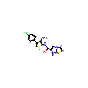 O=C(Nc1scc(-c2ccc(Cl)cc2)c1C(=O)O)C1=CN2C=CSC2N1